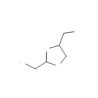 CC(C)CC1OCC(CCl)O1